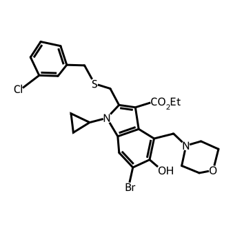 CCOC(=O)c1c(CSCc2cccc(Cl)c2)n(C2CC2)c2cc(Br)c(O)c(CN3CCOCC3)c12